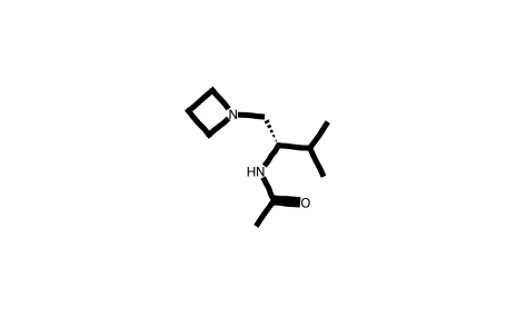 CC(=O)N[C@H](CN1CCC1)C(C)C